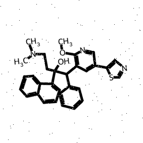 COc1ncc(-c2cncs2)cc1C(c1ccccc1)C(O)(CCN(C)C)c1cccc2ccccc12